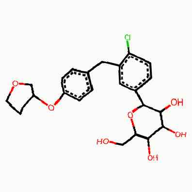 OCC1OC(c2ccc(Cl)c(Cc3ccc(OC4CCOC4)cc3)c2)C(O)C(O)C1O